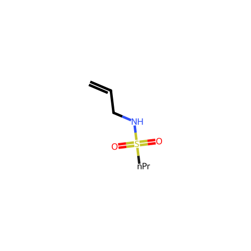 C=CCNS(=O)(=O)CCC